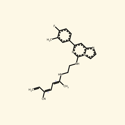 C=C/C(C#N)=C\C=C(/C)NCCNc1nc(-c2ccc(F)c(C)c2)cc2nccn12